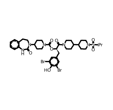 CC(C)S(=O)(=O)N1CCC(C2CCN(C(=O)[C@@H](Cc3cc(Br)c(O)c(Br)c3)OC(=O)N3CCC(N4CCc5ccccc5NC4=O)CC3)CC2)CC1